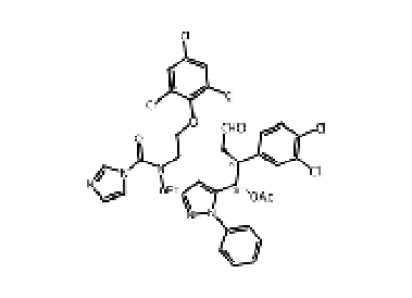 CC(=O)O[C@H](c1ccnn1-c1ccccc1)[C@@H](CC=O)c1ccc(Cl)c(Cl)c1.CCCN(CCOc1c(Cl)cc(Cl)cc1Cl)C(=O)n1ccnc1